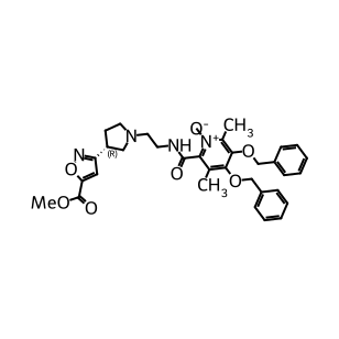 COC(=O)c1cc([C@@H]2CCN(CCNC(=O)c3c(C)c(OCc4ccccc4)c(OCc4ccccc4)c(C)[n+]3[O-])C2)no1